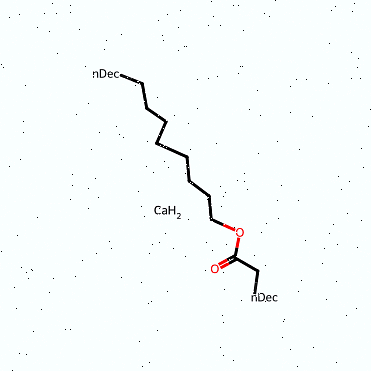 CCCCCCCCCCCCCCCCCCOC(=O)CCCCCCCCCCC.[CaH2]